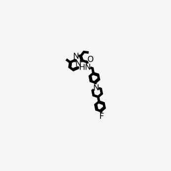 CCc1nc2c(C)cccn2c1C(=O)NCc1ccc(N2CCC(c3ccc(F)cc3)CC2)cc1